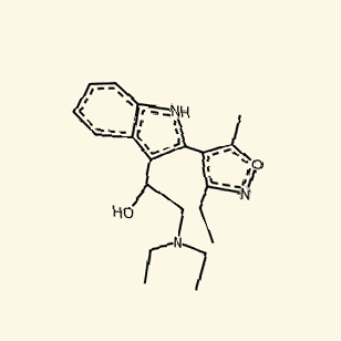 CCc1noc(C)c1-c1[nH]c2ccccc2c1C(O)CN(CC)CC